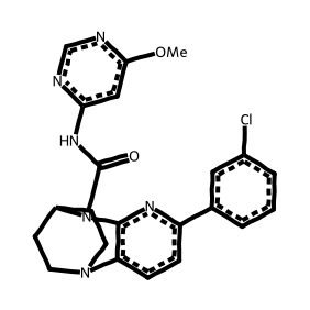 COc1cc(NC(=O)N2c3nc(-c4cccc(Cl)c4)ccc3N3CCC2CC3)ncn1